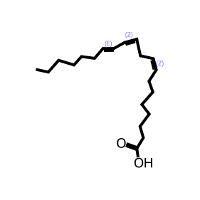 CCCCCC/C=C/C=C\C/C=C\CCCCCCC(=O)O